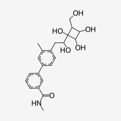 CNC(=O)c1cccc(-c2ccc(CC(O)C3(O)C(O)C(O)C3CO)c(C)c2)c1